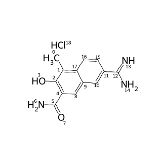 Cc1c(O)c(C(N)=O)cc2cc(C(=N)N)ccc12.Cl